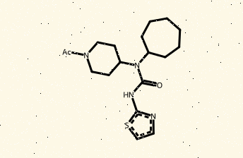 CC(=O)N1CCC(N(C(=O)Nc2nccs2)C2CCCCCC2)CC1